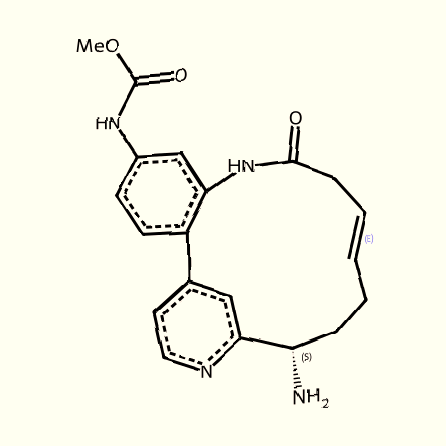 COC(=O)Nc1ccc2c(c1)NC(=O)C/C=C/CC[C@H](N)c1cc-2ccn1